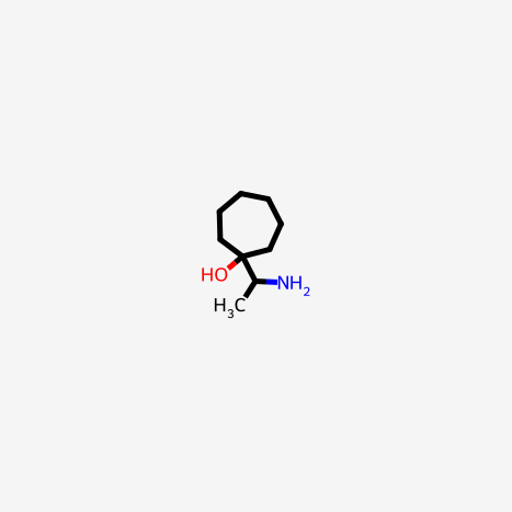 CC(N)C1(O)CCCCCC1